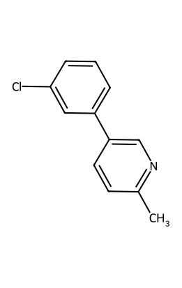 Cc1ccc(-c2cccc(Cl)c2)cn1